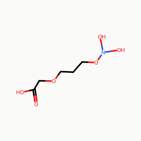 O=C(O)COCCCON(O)O